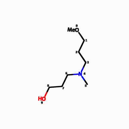 COCCCN(C)CCCO